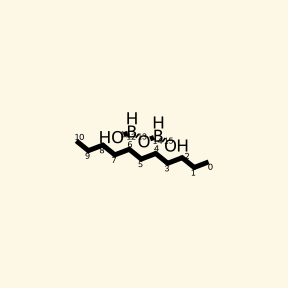 CCCCCCCCCCC.OBOBO